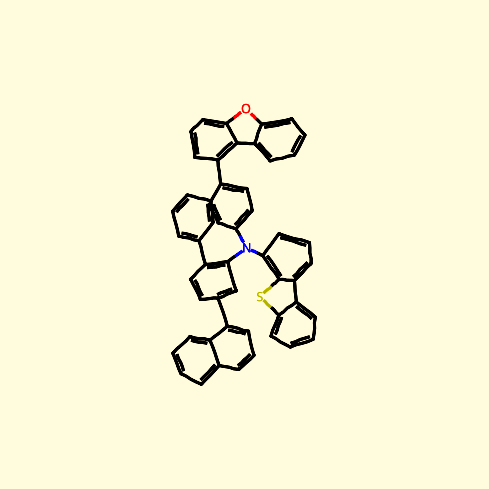 c1ccc(-c2ccc(-c3cccc4ccccc34)cc2N(c2ccc(-c3cccc4oc5ccccc5c34)cc2)c2cccc3c2sc2ccccc23)cc1